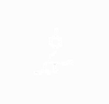 C=CCN(C)C(COc1ccc(Cl)cc1)CC(C)=O